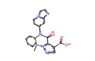 CCn1ncc(C(=O)O)c1C(=O)N(c1ccccc1)c1ccn2ccnc2c1